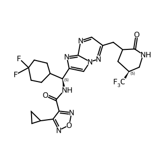 O=C(N[C@H](c1cn2nc(CC3C[C@H](C(F)(F)F)CNC3=O)cnc2n1)C1CCC(F)(F)CC1)c1nonc1C1CC1